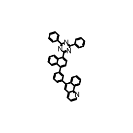 c1ccc(-c2nc(-c3ccccc3)nc(-c3ccc(-c4cccc(-c5cc6cccnc6c6ccccc56)c4)c4ccccc34)n2)cc1